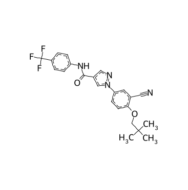 CC(C)(C)COc1ccc(-n2cc(C(=O)Nc3ccc(C(F)(F)F)cc3)cn2)cc1C#N